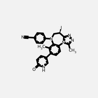 Cc1c(-c2ccc(=O)[nH]c2)ccc2c1N(c1ccc(C#N)cc1)C[C@@H](I)c1nnc(C)n1-2